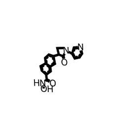 O=C(NO)c1ccc2ccc(C3CCN(c4cccnc4)C3=O)cc2c1